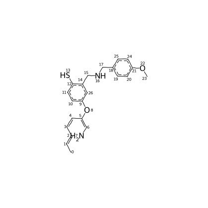 C/C=C/C=C\C(=C/N)Oc1ccc(S)c(CNCc2ccc(OC)cc2)c1